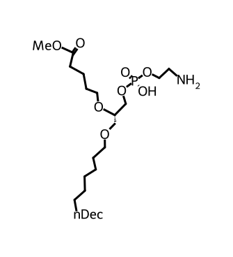 CCCCCCCCCCCCCCCCOC[C@@H](COP(=O)(O)OCCN)OCCCCC(=O)OC